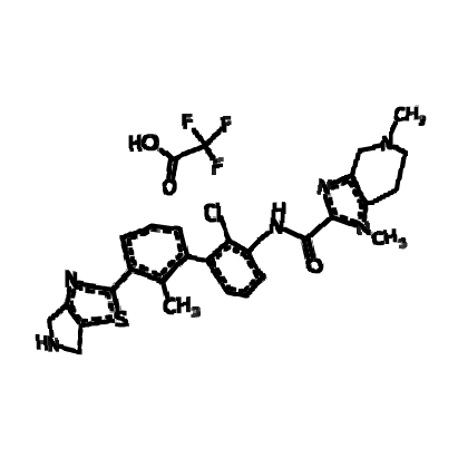 Cc1c(-c2nc3c(s2)CNC3)cccc1-c1cccc(NC(=O)c2nc3c(n2C)CCN(C)C3)c1Cl.O=C(O)C(F)(F)F